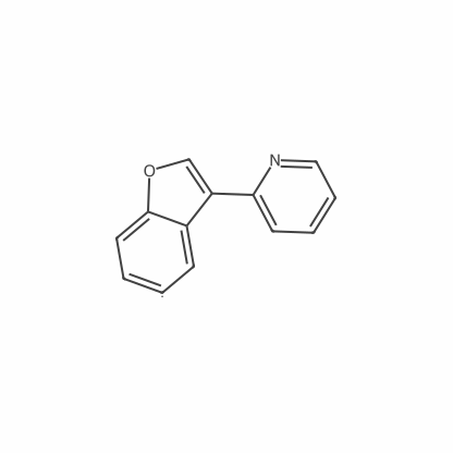 [c]1ccc2occ(-c3ccccn3)c2c1